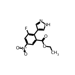 CCOC(=O)c1cc([N+](=O)[O-])cc(F)c1-c1cn[nH]c1